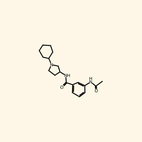 CC(=O)Nc1cccc(C(=O)NC2CCN(C3CCCCC3)C2)c1